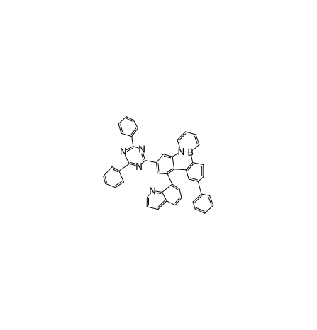 C1=CB2c3ccc(-c4ccccc4)cc3-c3c(-c4cccc5cccnc45)cc(-c4nc(-c5ccccc5)nc(-c5ccccc5)n4)cc3N2C=C1